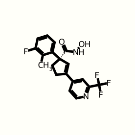 Cc1c(F)cccc1[C@@]1(C(=O)NO)C=C(c2ccnc(C(F)(F)F)c2)CC1